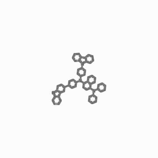 c1ccc(N(c2ccccc2)c2ccc(N(c3ccc(-c4ccc5oc6ccccc6c5c4)cc3)c3ccc(-n4c5ccccc5c5ccccc54)cc3)c3ccccc23)cc1